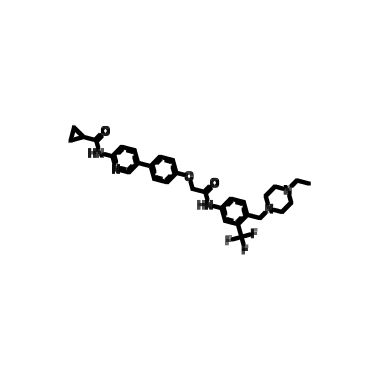 CCN1CCN(Cc2ccc(NC(=O)COc3ccc(-c4ccc(NC(=O)C5CC5)nc4)cc3)cc2C(F)(F)F)CC1